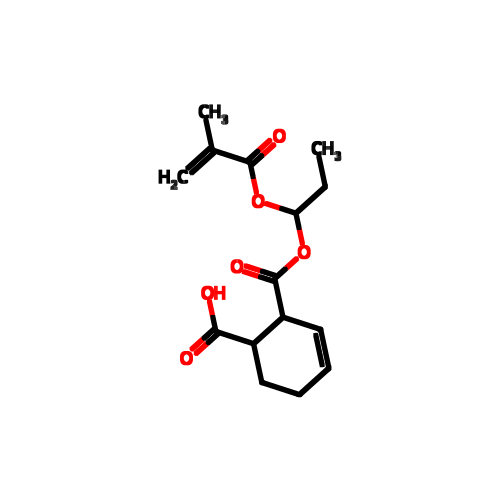 C=C(C)C(=O)OC(CC)OC(=O)C1C=CCCC1C(=O)O